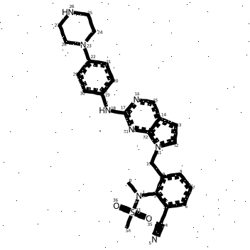 CN(c1c(C#N)cccc1Cn1ccc2cnc(Nc3ccc(N4CCNCC4)cc3)nc21)S(C)(=O)=O